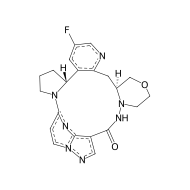 O=C1NN2CCOC[C@@H]2Cc2ncc(F)cc2[C@H]2CCCN2c2ccn3ncc1c3n2